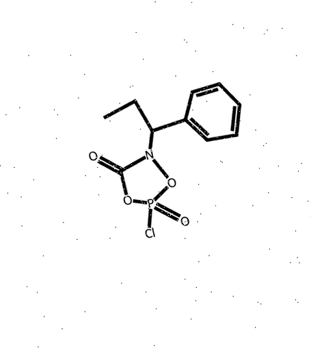 CCC(c1ccccc1)N1OP(=O)(Cl)OC1=O